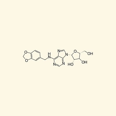 OC[C@H]1O[C@@H](n2cnc3c(NCc4ccc5c(c4)OCO5)ncnc32)[C@@H](O)C1O